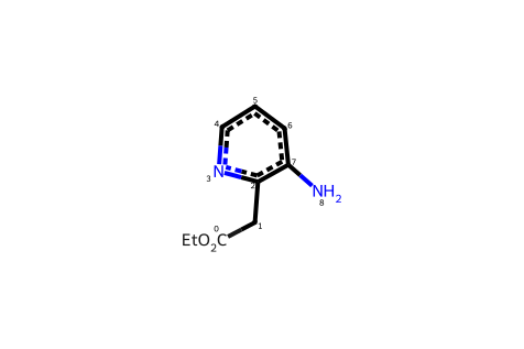 CCOC(=O)Cc1ncccc1N